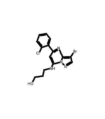 OCCCNc1cc(-c2ccccc2Cl)nc2c(Br)cnn12